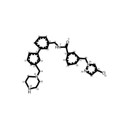 O=C(NCc1cccc(-c2cccc(CN3CCNCC3)c2)c1)c1cccc(Cn2cc(Cl)cn2)c1